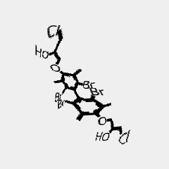 Cc1c(Br)c(-c2c(Br)c(C)c(OCC(O)CCl)c(C)c2Br)c(Br)c(C)c1OCC(O)CCl